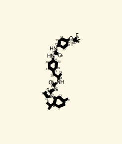 Cc1ccc(C(C)C)c(-n2ccsc2=NC(=O)NC(C)Cc2ccc(NC(=O)Nc3ccc(OC(F)(F)F)cc3)cc2)c1